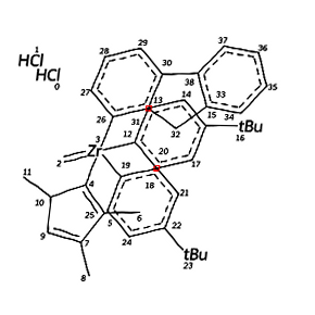 Cl.Cl.[CH2]=[Zr]([C]1=C(C)C(C)=CC1C)([c]1ccc(C(C)(C)C)cc1)([c]1ccc(C(C)(C)C)cc1)[c]1cccc2c1Cc1ccccc1-2